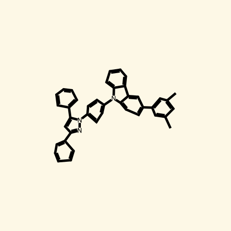 Cc1cc(C)cc(-c2ccc3c(c2)c2ccccc2n3-c2ccc(-n3nc(-c4ccccc4)cc3-c3ccccc3)cc2)c1